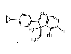 C=C1Nc2c(Cl)ccc(Cl)c2C1(C)C(=O)c1ccc(C2CC2)cc1